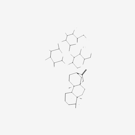 C=C1C[C@@]23CC[C@H]4[C@@](C)(CCC[C@@]4(C)C(=O)O)[C@@H]2CC[C@]1(C1OC(CO)C(O)C(OC2OC(CO)C(O)C(O)C2O)C1OC1OC(C)C(O)C(O)C1O)C3